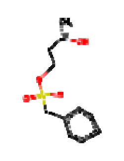 C[C@H](O)CCOS(=O)(=O)Cc1ccccc1